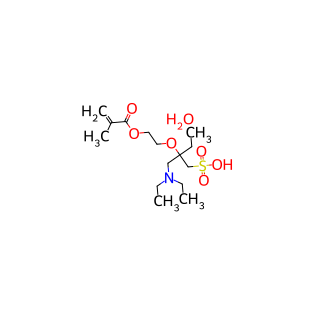 C=C(C)C(=O)OCCOC(CC)(CN(CC)CC)CS(=O)(=O)O.O